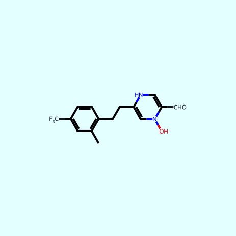 Cc1cc(C(F)(F)F)ccc1CCC1=CN(O)C(C=O)=CN1